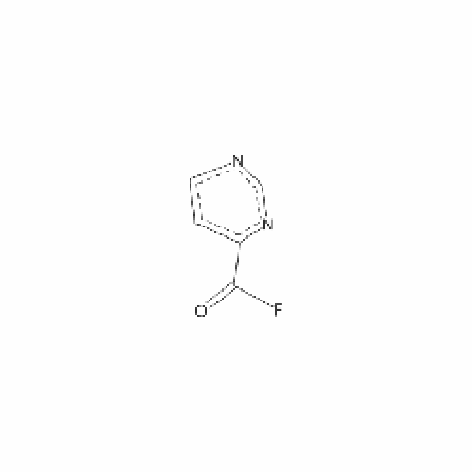 O=C(F)c1ccncn1